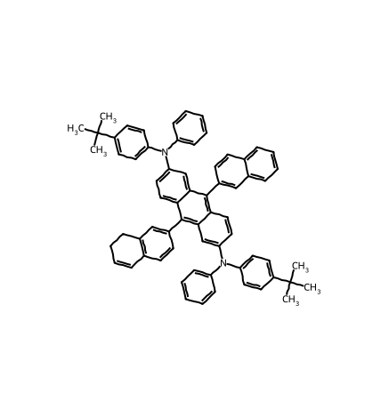 CC(C)(C)c1ccc(N(c2ccccc2)c2ccc3c(-c4ccc5ccccc5c4)c4cc(N(c5ccccc5)c5ccc(C(C)(C)C)cc5)ccc4c(-c4ccc5c(c4)CCC=C5)c3c2)cc1